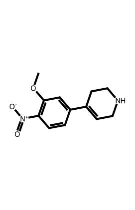 COc1cc(C2=CCNCC2)ccc1[N+](=O)[O-]